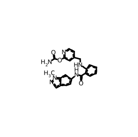 Cn1ncc2ccc(NC(=O)c3ccccc3NCc3ccnc(OC(N)=O)c3)cc21